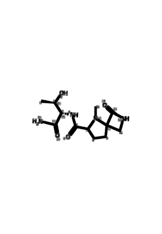 C[C@@H](O)[C@H](NC(=O)C1CCC2(CNC2=O)N1C)C(N)=O